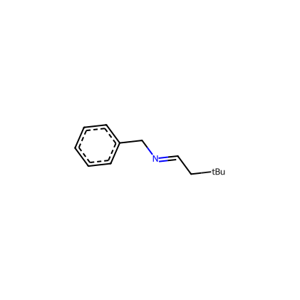 CC(C)(C)CC=NCc1ccccc1